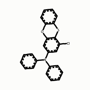 Clc1cc(N(c2ccccc2)c2ccccc2)cc2c1Sc1ccccc1O2